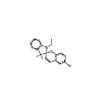 CCN1c2ccccc2C(C)(C)C12C=Cc1cc(Br)ccc1O2